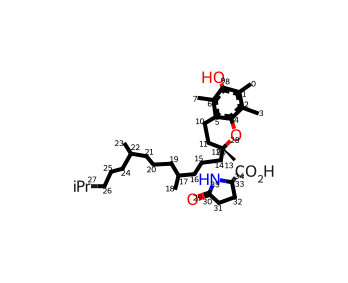 Cc1c(C)c2c(c(C)c1O)CC[C@@](C)(CCCC(C)CCCC(C)CCCC(C)C)O2.O=C1CCC(C(=O)O)N1